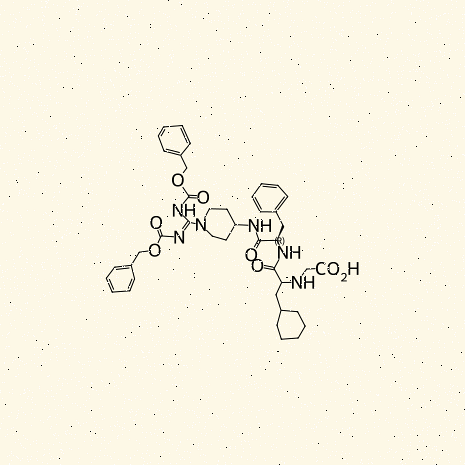 O=C(O)CNC(CC1CCCCC1)C(=O)N[C@H](Cc1ccccc1)C(=O)NC1CCN(C(=NC(=O)OCc2ccccc2)NC(=O)OCc2ccccc2)CC1